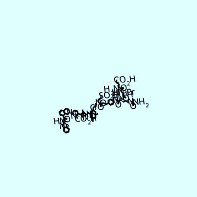 Cc1c(-c2ccc(N3CCc4cccc(C(=O)Nc5nc6ccccc6s5)c4C3)nc2C(=O)O)cnn1CC12CC3(C)CC(C)(C1)CC(OCCN(CCS(=O)(=O)O)C(=O)OCc1ccc(NC(=O)[C@H](CCCNC(N)=O)NC(=O)[C@@H](NC(=O)[C@@H](N)CCC(=O)O)C(C)C)cc1)(C3)C2